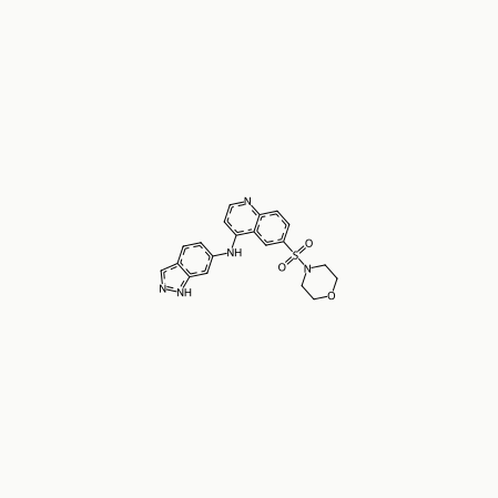 O=S(=O)(c1ccc2nccc(Nc3ccc4cn[nH]c4c3)c2c1)N1CCOCC1